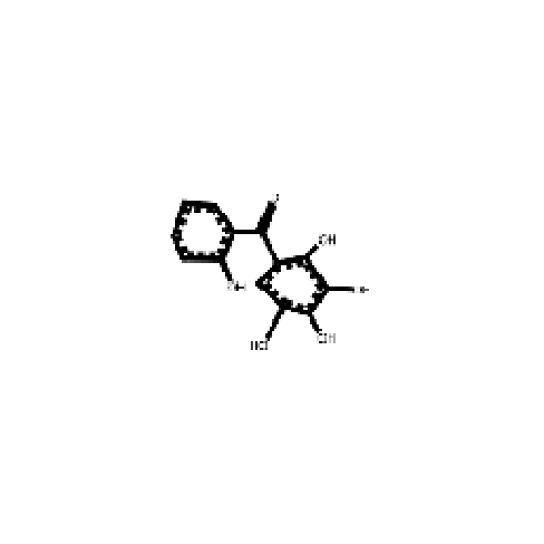 O=C(c1ccccc1O)c1cc(O)c(O)c(O)c1O